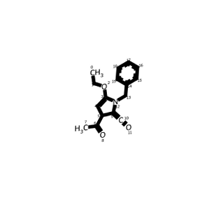 CCOC1=CC(C(C)=O)C(=C=O)N1Cc1ccccc1